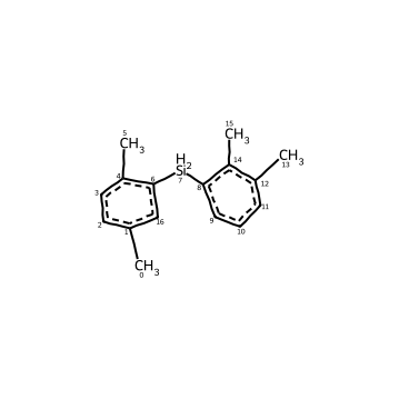 Cc1ccc(C)c([SiH2]c2cccc(C)c2C)c1